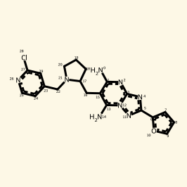 Nc1nc2nc(-c3ccco3)nn2c(N)c1CC1CCCN1Cc1ccnc(Cl)c1